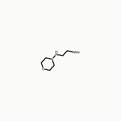 CNCCNN1CCOCC1